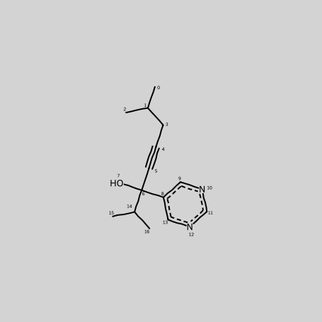 CC(C)CC#CC(O)(c1cncnc1)C(C)C